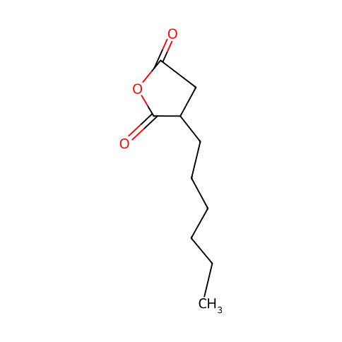 CCCCCCC1CC(=O)OC1=O